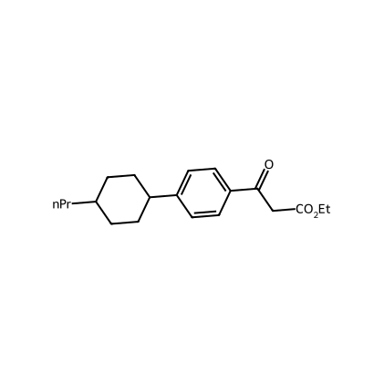 CCCC1CCC(c2ccc(C(=O)CC(=O)OCC)cc2)CC1